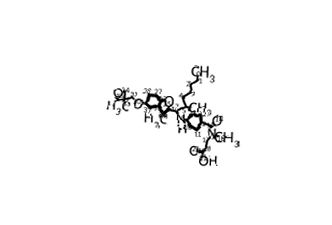 CCCCCC(C)C(Nc1ccc(C(=O)N(C)CCC(=O)O)cc1)c1oc2ccc(OCC3(C)COC3)cc2c1C